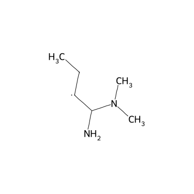 CC[CH]C(N)N(C)C